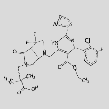 CCOC(=O)C1=C(CN2CC(F)(F)C3C(=O)N(CC(C)(C)C(=O)O)CC32)NC(c2nccs2)=NC1c1cccc(F)c1Cl